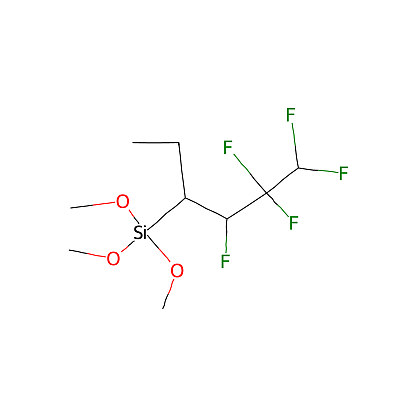 CCC(C(F)C(F)(F)C(F)F)[Si](OC)(OC)OC